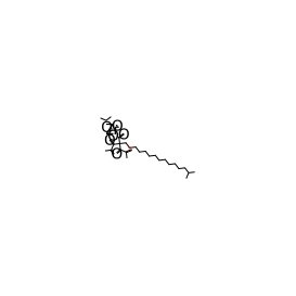 C=C(C)C(=O)C(CCCCCCCCCCCCCC(C)C)(C(=O)[O][Zr](=[O])[O]C(C)C)C(=O)C(=C)C